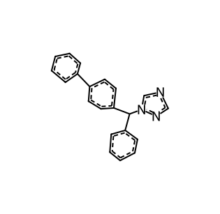 c1ccc(-c2ccc(C(c3ccccc3)n3cncn3)cc2)cc1